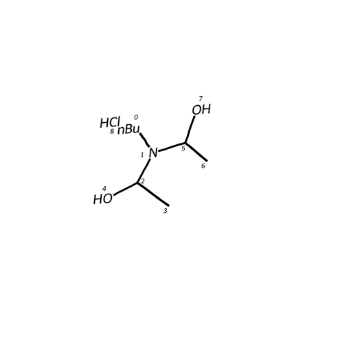 CCCCN(C(C)O)C(C)O.Cl